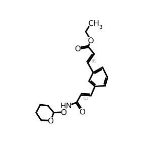 CCOC(=O)/C=C/c1cccc(/C=C/C(=O)NOC2CCCCO2)c1